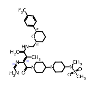 C=C(NC[C@@H]1CCC[C@H](c2ccc(C(F)(F)F)cc2)O1)/C(C)=C(\N=C/N)C(=O)N1CCC(N2CCC(N(C)S(C)(=O)=O)CC2)CC1